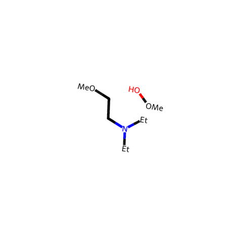 CCN(CC)CCOC.COO